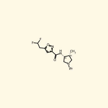 CC(C)N1C[C@@H](C)[C@@H](NC(=O)c2cc(CC(F)F)on2)C1